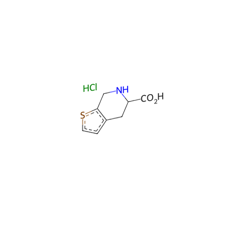 Cl.O=C(O)C1Cc2ccsc2CN1